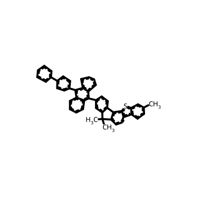 Cc1ccc2c(c1)sc1c3c(ccc12)C(C)(C)c1cc(-c2c4ccccc4c(-c4ccc(-c5ccccc5)cc4)c4ccccc24)ccc1-3